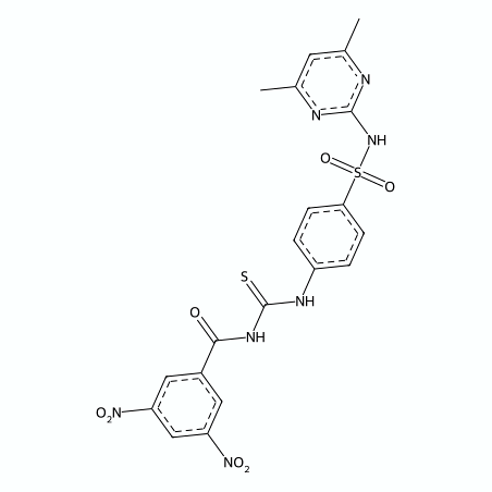 Cc1cc(C)nc(NS(=O)(=O)c2ccc(NC(=S)NC(=O)c3cc([N+](=O)[O-])cc([N+](=O)[O-])c3)cc2)n1